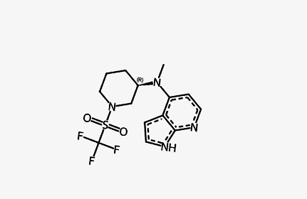 CN(c1ccnc2[nH]ccc12)[C@@H]1CCCN(S(=O)(=O)C(F)(F)F)C1